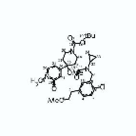 COCCc1ccc(Cl)c(CN(C(=O)[C@H]2CN(C(=O)OC(C)(C)C)CC[C@@]2(OC)c2ccn(C)c(=O)c2)C2CC2)c1